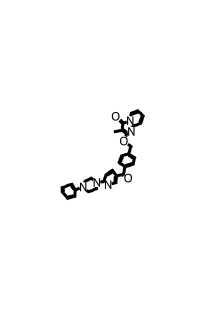 Cc1c(OCc2ccc(C(=O)c3ccc(N4CCN(c5ccccc5)CC4)nc3)cc2)nc2ccccn2c1=O